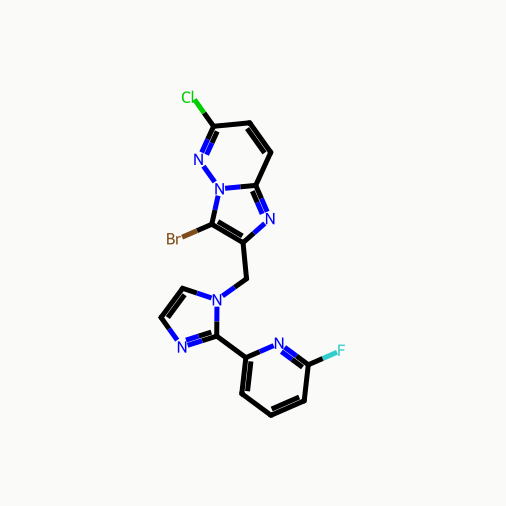 Fc1cccc(-c2nccn2Cc2nc3ccc(Cl)nn3c2Br)n1